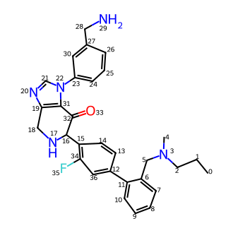 CCCN(C)Cc1ccccc1-c1ccc(C2NCc3ncn(-c4cccc(CN)c4)c3C2=O)c(F)c1